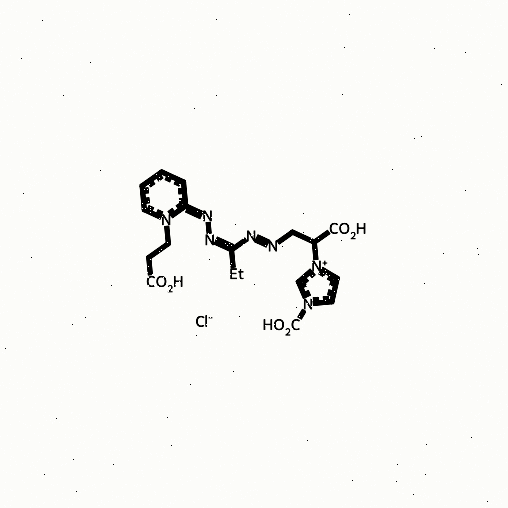 CCC(N=NCC(C(=O)O)[n+]1ccn(C(=O)O)c1)=NN=c1ccccn1CCC(=O)O.[Cl-]